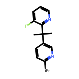 CC(C)c1ccc(C(C)(C)c2ncccc2F)cn1